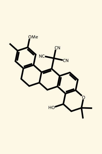 COc1cc2c(cc1C)CCC1Cc3c(ccc4c3C(O)CC(C)(C)O4)C(C(C#N)(C#N)C#N)=C21